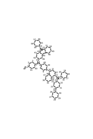 Fc1ccc(N(c2ccc(-c3ccc(N(c4ccccc4)c4ccc(-c5ccccc5)cc4)c4ccccc34)cc2)c2ccc3c(c2)c2ccccc2n3-c2ccccc2)cc1